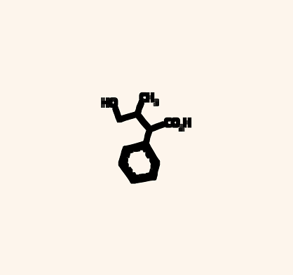 CC(CO)C(C(=O)O)c1ccccc1